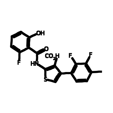 Cc1ccc(-c2csc(NC(=O)c3c(O)cccc3F)c2C(=O)O)c(F)c1F